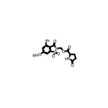 COc1cc(C(C)C)c2c(c1)S(=O)(=O)N(COC(=O)C1CCC(=O)N1)C2=O